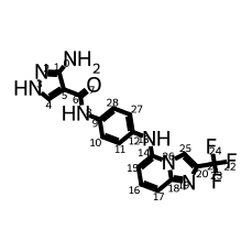 Nc1n[nH]cc1C(=O)Nc1ccc(Nc2cccc3nc(C(F)(F)F)cn23)cc1